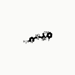 COCc1c(-c2nc(-c3ccc(N)nc3)no2)nnn1-c1ccccc1F